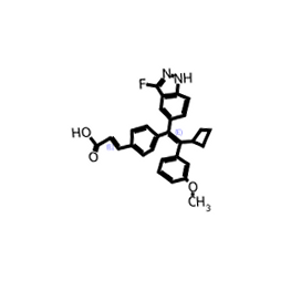 COc1cccc(/C(=C(\c2ccc(/C=C/C(=O)O)cc2)c2ccc3[nH]nc(F)c3c2)C2CCC2)c1